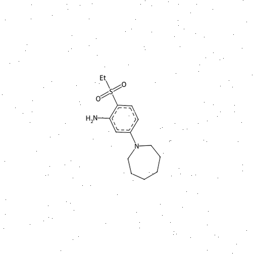 CCS(=O)(=O)c1ccc(N2CCCCCC2)cc1N